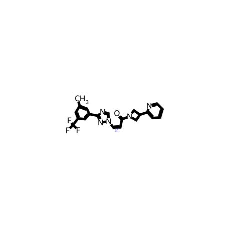 Cc1cc(-c2ncn(/C=C\C(=O)N3CC(c4ccccn4)C3)n2)cc(C(F)(F)F)c1